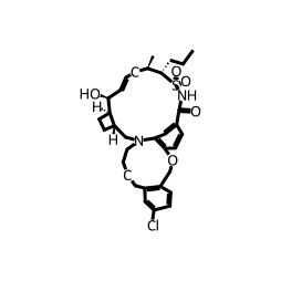 CCC[C@H]1[C@H](C)C/C=C/[C@H](O)[C@@H]2CC[C@H]2CN2CCCCc3cc(Cl)ccc3COc3ccc(cc32)C(=O)NS1(=O)=O